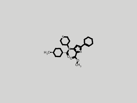 COC(=O)c1sc(C2=CCCCC2)cc1N(C(=O)[C@H]1CC[C@H](C)CC1)C1CCSCC1